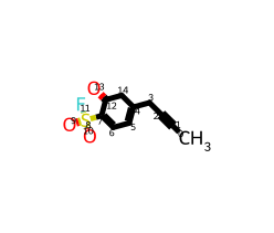 CC#CCC1=CC=C(S(=O)(=O)F)C(=O)C1